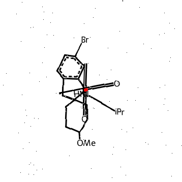 COC1CCC2(CC1)Cc1ccc(Br)cc1C21NC(=O)N(C(C)C)C1=O